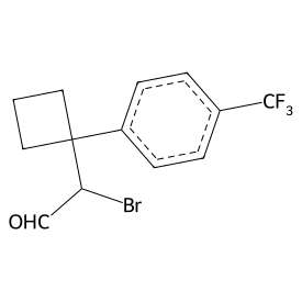 O=CC(Br)C1(c2ccc(C(F)(F)F)cc2)CCC1